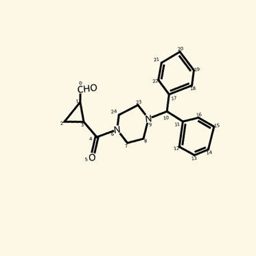 O=CC1CC1C(=O)N1CCN(C(c2ccccc2)c2ccccc2)CC1